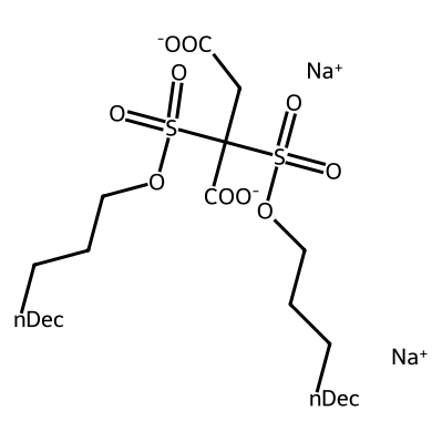 CCCCCCCCCCCCCOS(=O)(=O)C(CC(=O)[O-])(C(=O)[O-])S(=O)(=O)OCCCCCCCCCCCCC.[Na+].[Na+]